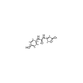 O=C(NC1=CC(=O)OC1)Nc1ccc(O)cc1